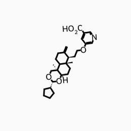 C=C1CCC2[C@]3(C)CO[C@@H](C4CCCC4)O[C@@H]3CC[C@@]2(C)[C@@H]1CCOc1cncc(C(=O)O)c1